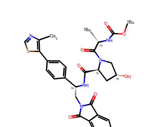 Cc1ncsc1-c1ccc([C@@H](CN2C(=O)c3ccccc3C2=O)NC(=O)[C@@H]2C[C@@H](O)CN2C(=O)[C@@H](NC(=O)OC(C)(C)C)C(C)(C)C)cc1